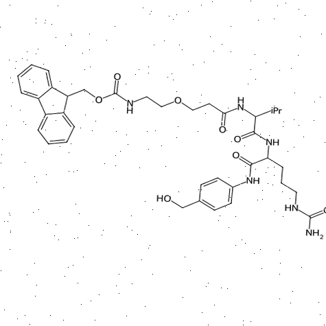 CC(C)C(NC(=O)CCOCCNC(=O)OCC1c2ccccc2-c2ccccc21)C(=O)NC(CCCNC(N)=O)C(=O)Nc1ccc(CO)cc1